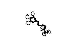 COc1cc(/C=C/c2ccc([N+](=O)[O-])s2)cc(OC)c1OC